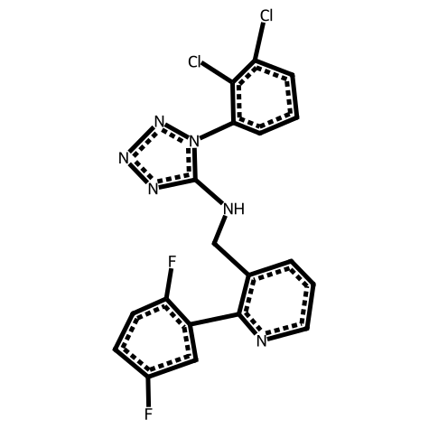 Fc1ccc(F)c(-c2ncccc2CNc2nnnn2-c2cccc(Cl)c2Cl)c1